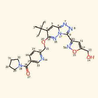 CC(C)(C)c1cc2nnc(-c3cc(CO)on3)n2nc1OCc1ccc(C(=O)N2CCCC2)cn1